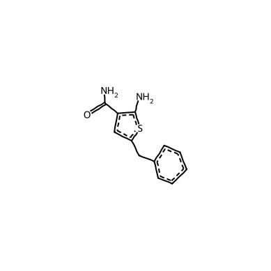 NC(=O)c1cc(Cc2ccccc2)sc1N